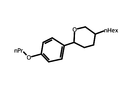 CCCCCCC1CCC(c2ccc(OCCC)cc2)OC1